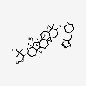 CCOC([C@H]1C[C@@H](C)[C@H]2[C@H](O1)[C@H](O)[C@@]1(C)[C@@H]3CC[C@H]4C(C)(C)[C@@H](O[C@H]5CN(Cc6ncco6)CCO5)CC[C@@]45C[C@@]35CC[C@]21C)C(C)(C)O